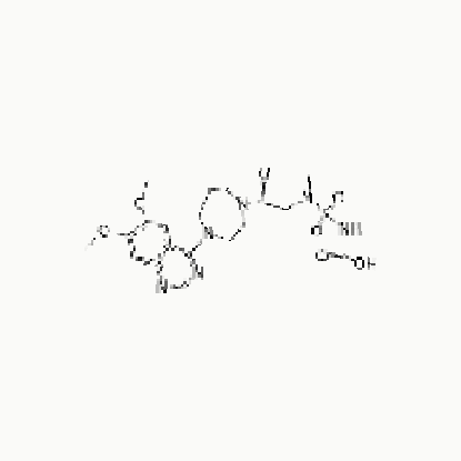 COc1cc2ncnc(N3CCCN(C(=O)CNS(=O)(=O)NC(=O)O)CC3)c2cc1OC